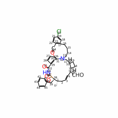 C[C@H]1C/C=C/[C@H](C=O)[C@@H]2CC[C@H]2CN2CCCCc3cc(Cl)ccc3COc3ccc(cc32)C(=O)NS(=O)(=O)[C@@H]1Cc1ccccc1